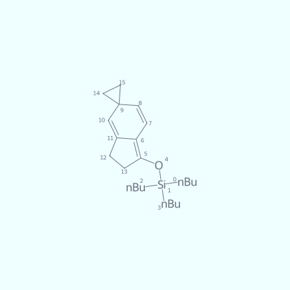 CCCC[Si](CCCC)(CCCC)OC1=C2C=CC3(C=C2CC1)CC3